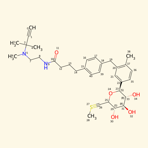 C#CC(C)(C)N(C)CCNC(=O)CCCc1ccc(Cc2cc([C@@H]3OC(C#SC)[C@@H](O)[C@H](O)[C@H]3O)ccc2C)cc1